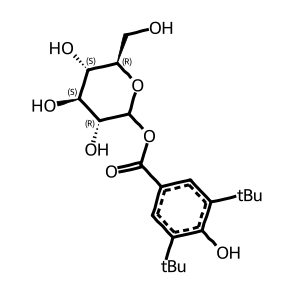 CC(C)(C)c1cc(C(=O)OC2O[C@H](CO)[C@@H](O)[C@H](O)[C@H]2O)cc(C(C)(C)C)c1O